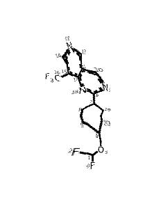 FC(F)OC1CCC(c2ncc3cncc(C(F)(F)F)c3n2)CC1